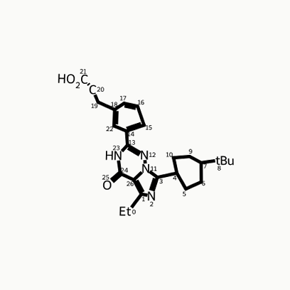 CCc1nc(C2CCC(C(C)(C)C)CC2)n2nc(-c3cccc(CCC(=O)O)c3)[nH]c(=O)c12